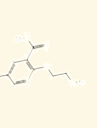 COCCOc1ncc(Br)cc1C(=O)OC